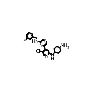 NC1CCC(Nc2cc(-c3cncc(NCc4cccc(F)c4)n3)c(Cl)cn2)CC1